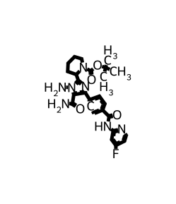 CC(C)(C)OC(=O)N1CCCCC1c1nc(-c2ccc(C(=O)Nc3cc(F)ccn3)cc2)c(C(N)=O)n1N